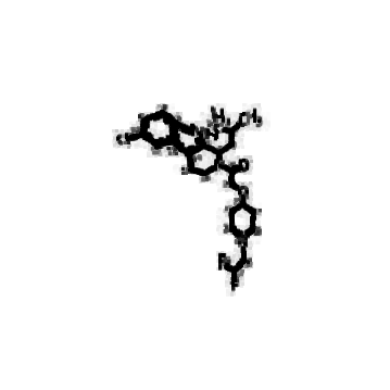 CC(C)CC1c2[nH]c3ccc(Cl)cc3c2CCN1C(=O)COC1CCN(CC(F)F)CC1